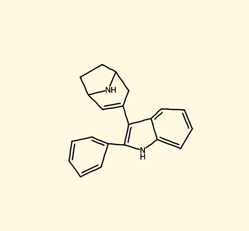 C1=C(c2c(-c3ccccc3)[nH]c3ccccc23)CC2CCC1N2